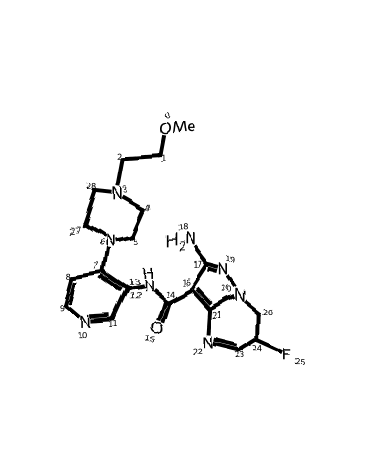 COCCN1CCN(c2ccncc2NC(=O)c2c(N)nn3c2N=CC(F)C3)CC1